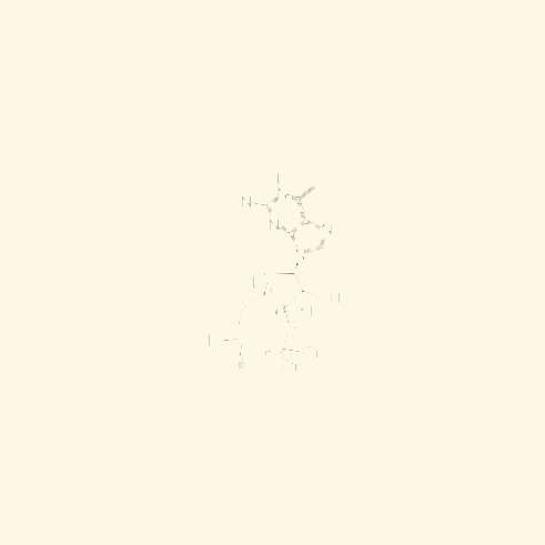 CC(C)[Si]1(C(C)C)OC[C@H]2O[C@@H](n3cnc4c(=O)[nH]c(N)nc43)C(O)[C@H]2O[Si](C(C)C)(C(C)C)O1